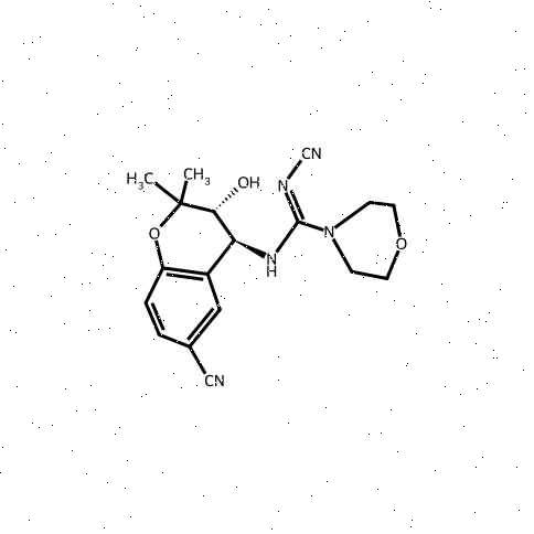 CC1(C)Oc2ccc(C#N)cc2[C@H](N/C(=N/C#N)N2CCOCC2)[C@H]1O